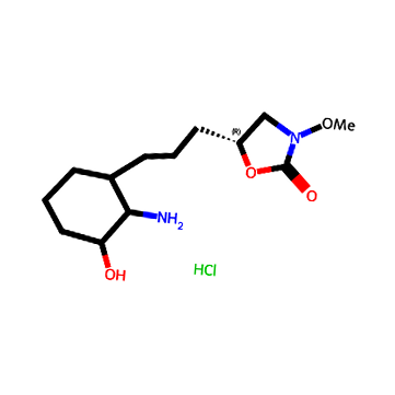 CON1C[C@@H](CCCC2CCCC(O)C2N)OC1=O.Cl